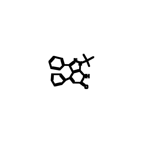 CC(C)(C)n1nc(-c2ccccc2)c2c(-c3ccccc3)cc(=O)[nH]c21